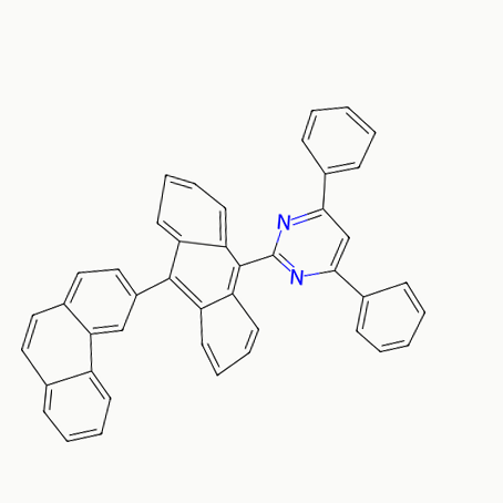 c1ccc(-c2cc(-c3ccccc3)nc(-c3c4ccccc4c(-c4ccc5ccc6ccccc6c5c4)c4ccccc34)n2)cc1